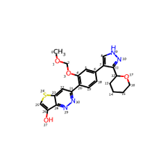 COCOc1cc(-c2c[nH]nc2C2CCCCO2)ccc1-c1cc2scc(O)c2nn1